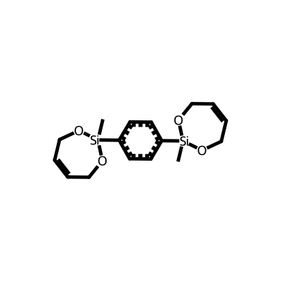 C[Si]1(c2ccc([Si]3(C)OCC=CCO3)cc2)OCC=CCO1